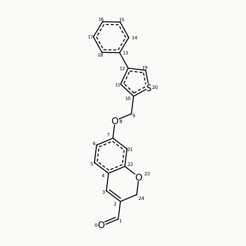 O=CC1=Cc2ccc(OCc3cc(-c4ccccc4)cs3)cc2OC1